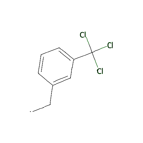 [CH2]Cc1cccc(C(Cl)(Cl)Cl)c1